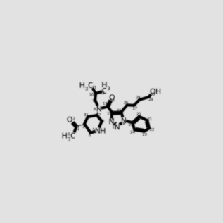 CC(=O)[C@H]1CNC[C@@H](N(CC(C)C)C(=O)c2nnn(-c3ccccc3)c2CCCCO)C1